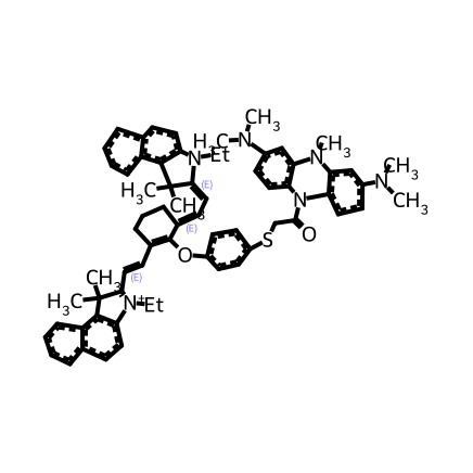 CCN1/C(=C/C=C2\CCCC(/C=C/C3=[N+](CC)c4ccc5ccccc5c4C3(C)C)=C2Oc2ccc(SCC(=O)N3c4ccc(N(C)C)cc4N(C)c4cc(N(C)C)ccc43)cc2)C(C)(C)c2c1ccc1ccccc21